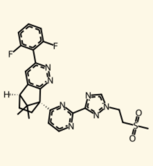 CC1(C)[C@H]2CC[C@]1(c1ccnc(-c3ncn(CCS(C)(=O)=O)n3)n1)c1nnc(-c3c(F)cccc3F)cc12